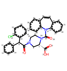 O=C(O)[C@@H]1CN(C(=O)C(c2ccccc2)c2ccccc2Cl)CCN1C(=O)N1c2ccccc2C=Cc2ccccc21